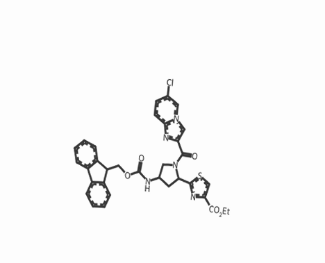 CCOC(=O)c1csc(C2CC(NC(=O)OCC3c4ccccc4-c4ccccc43)CN2C(=O)c2cn3cc(Cl)ccc3n2)n1